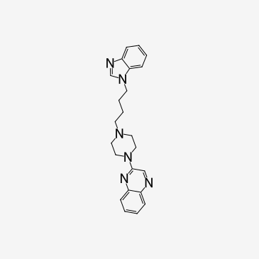 c1ccc2nc(N3CCN(CCCCn4cnc5ccccc54)CC3)cnc2c1